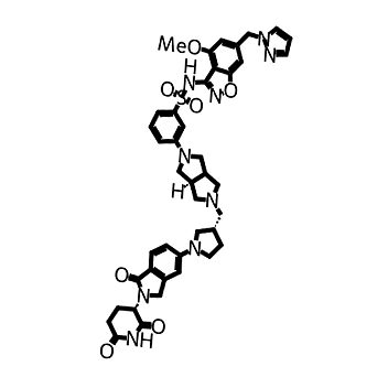 COc1cc(Cn2cccn2)cc2onc(NS(=O)(=O)c3cccc(N4CC5CN(C[C@@H]6CCN(c7ccc8c(c7)CN([C@H]7CCC(=O)NC7=O)C8=O)C6)C[C@H]5C4)c3)c12